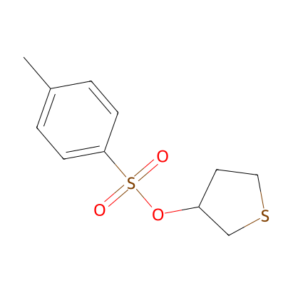 Cc1ccc(S(=O)(=O)OC2CCSC2)cc1